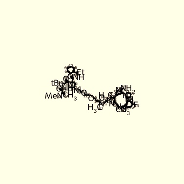 CC[C@H](NC(=O)[C@H]1C[C@@H](NCCOCCOCCC(=O)N(C)CCn2nc3c(c2C)-c2cnc(N)c(c2)N2CCC[C@@H]2c2cc(F)ccc2C(=O)N(C)C3)CN1C(=O)C(NC(=O)[C@@H](C)NC)C(C)(C)C)c1ccccc1